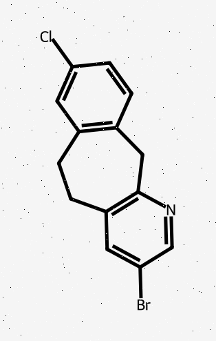 Clc1ccc2c(c1)CCc1cc(Br)cnc1C2